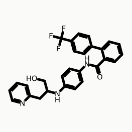 O=C(Nc1ccc(NC(CO)Cc2ccccn2)cc1)c1ccccc1-c1ccc(C(F)(F)F)cc1